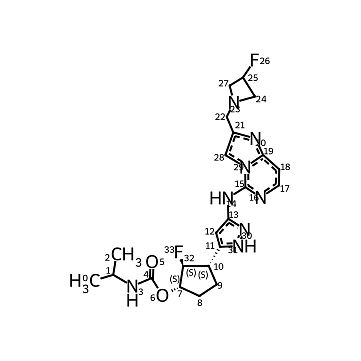 CC(C)NC(=O)O[C@H]1CC[C@@H](c2cc(Nc3nccc4nc(CN5CC(F)C5)cn34)n[nH]2)[C@@H]1F